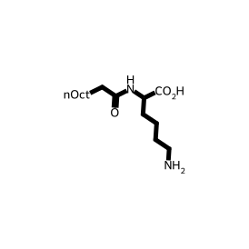 CCCCCCCCCC(=O)NC(CCCCN)C(=O)O